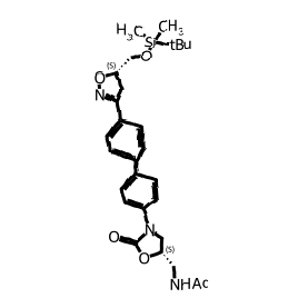 CC(=O)NC[C@H]1CN(c2ccc(-c3ccc(C4=NO[C@H](CO[Si](C)(C)C(C)(C)C)C4)cc3)cc2)C(=O)O1